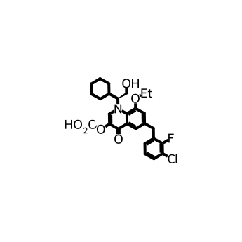 CCOc1cc(Cc2cccc(Cl)c2F)cc2c(=O)c(OC(=O)O)cn([C@H](CO)C3CCCCC3)c12